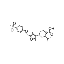 CC(C)C1CC(c2noc(COc3ccc(S(C)(=O)=O)cc3)n2)CCN1C(=O)O